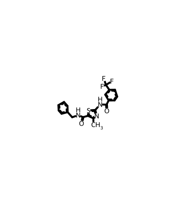 Cc1nc(NC(=O)c2cccc(C(F)(F)F)c2)sc1C(=O)NCc1ccccc1